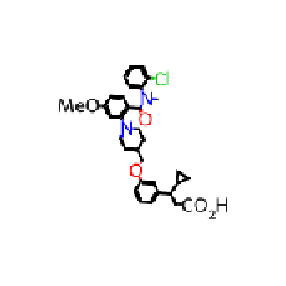 COc1ccc(C(=O)N(C)c2ccccc2Cl)c(N2CCC(COc3cccc(C(CC(=O)O)C4CC4)c3)CC2)c1